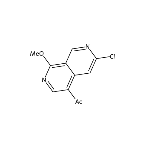 COc1ncc(C(C)=O)c2cc(Cl)ncc12